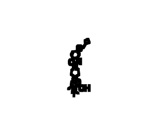 C[C@@H](COC1CCN(c2nc3cc(OCC4CCC4)ccc3o2)CC1)N(C(=O)O)C(C)(C)C